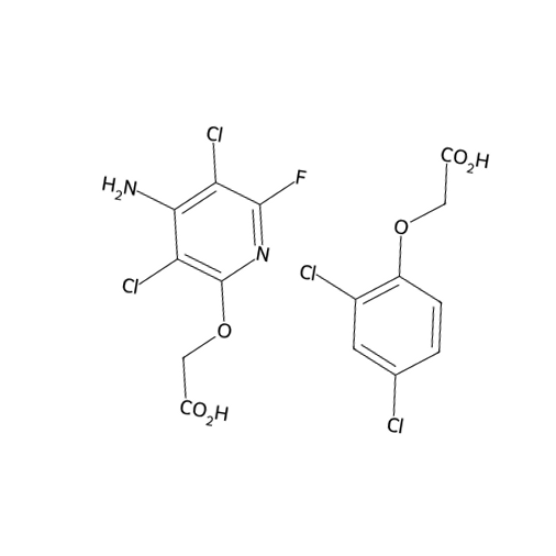 Nc1c(Cl)c(F)nc(OCC(=O)O)c1Cl.O=C(O)COc1ccc(Cl)cc1Cl